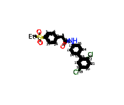 CCS(=O)(=O)c1ccc(CC(=O)Nc2ccc(-c3cc(Cl)ccc3Cl)cc2)cc1